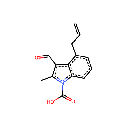 C=CCc1cccc2c1c(C=O)c(C)n2C(=O)O